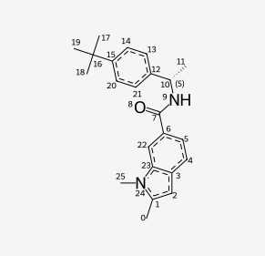 Cc1cc2ccc(C(=O)N[C@@H](C)c3ccc(C(C)(C)C)cc3)cc2n1C